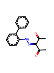 CC(=O)C(=NNc1ccccc1-c1ccccc1)C(C)=O